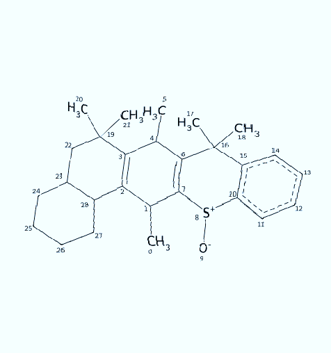 CC1C2=C(C(C)C3=C1[S+]([O-])c1ccccc1C3(C)C)C(C)(C)CC1CCCCC21